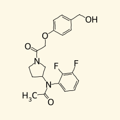 CC(=O)N(c1cccc(F)c1F)C1CCN(C(=O)COc2ccc(CO)cc2)C1